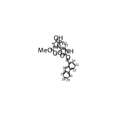 COC(=O)[C@@H]1CC(O)CN1C(=O)[C@H](CC(C)C)NC(=O)OCc1cccc2c1Cc1ccccc1-2